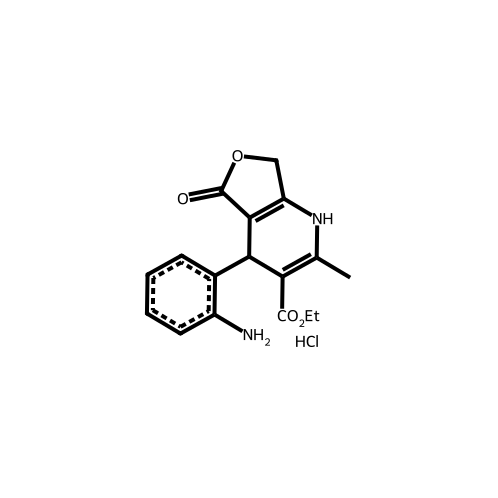 CCOC(=O)C1=C(C)NC2=C(C(=O)OC2)C1c1ccccc1N.Cl